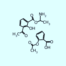 CC(=O)Oc1ccccc1C(=O)O.CC(=O)c1cccc(C(=O)OC(C)N)c1O